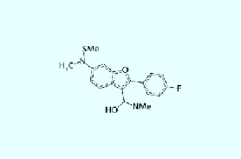 CNC(O)c1c(-c2ccc(F)cc2)oc2cc(N(C)SC)ccc12